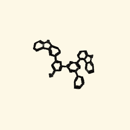 Brc1cc(-c2ccc3oc4ccccc4c3c2)cc(-c2nc(-c3ccccc3)nc(-c3cccc4oc5ccccc5c34)n2)c1